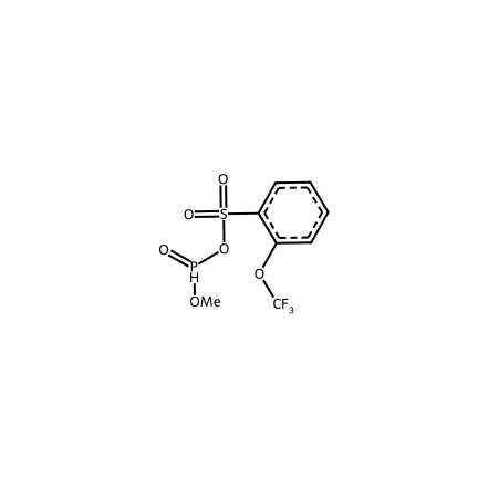 CO[PH](=O)OS(=O)(=O)c1ccccc1OC(F)(F)F